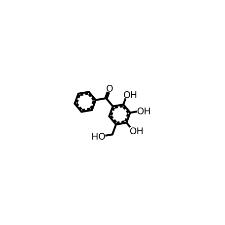 O=C(c1ccccc1)c1cc(CO)c(O)c(O)c1O